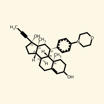 CC#C[C@]1(O)CC[C@H]2[C@@H]3CCC4=CC(O)CC[C@]4(C)[C@H]3[C@@H](c3ccc(N4CCOCC4)cc3)C[C@@]21C